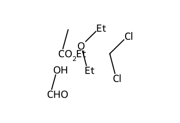 CCOC(C)=O.CCOCC.ClCCl.O=CO